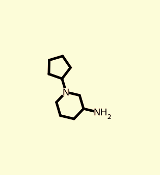 NC1CCCN(C2CCCC2)C1